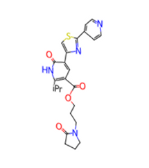 CC(C)c1[nH]c(=O)c(-c2csc(-c3ccncc3)n2)cc1C(=O)OCCCN1CCCC1=O